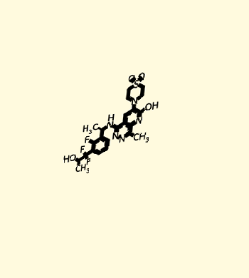 Cc1nnc(N[C@H](C)c2cccc(C(F)(F)C(C)O)c2F)c2cc(N3CCS(=O)(=O)CC3)c(O)nc12